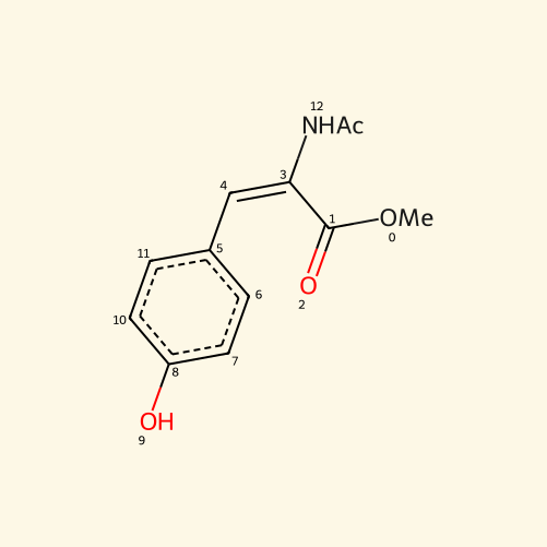 COC(=O)C(=Cc1ccc(O)cc1)NC(C)=O